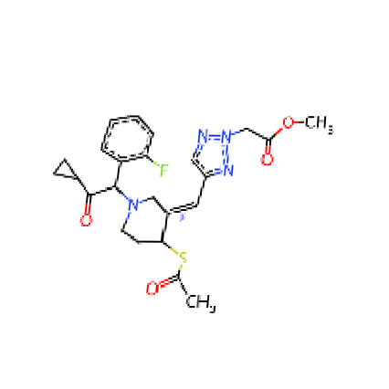 COC(=O)Cn1ncc(/C=C2\CN(C(C(=O)C3CC3)c3ccccc3F)CCC2SC(C)=O)n1